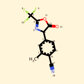 Cc1cc(C2N=C(C(F)(F)F)OC2=O)ccc1C#N